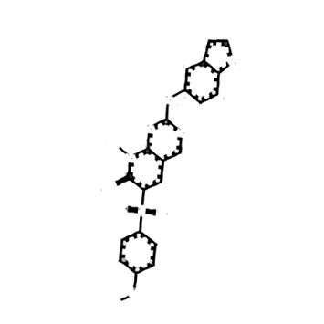 COc1ccc(S(=O)(=O)c2cc3cnc(Nc4ccc5[nH]ccc5c4)nc3n(C)c2=O)cc1